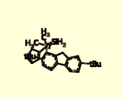 CC(C)(C)c1ccc2c(c1)Cc1c-2ccc(C(C)(C)C)[c]1[Zr]([CH3])([CH3])(=[SiH2])[C]1=CC=CC1